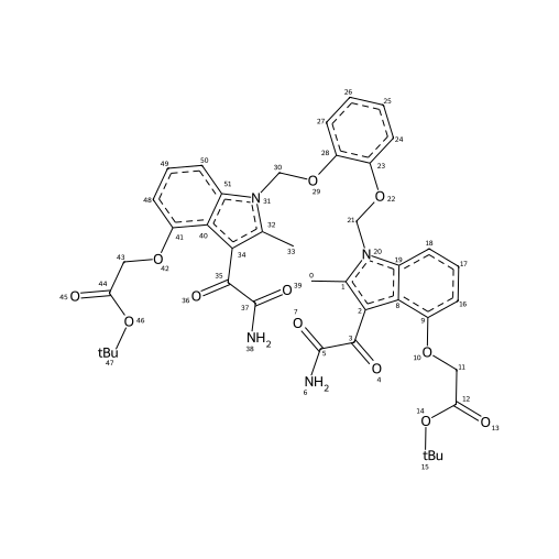 Cc1c(C(=O)C(N)=O)c2c(OCC(=O)OC(C)(C)C)cccc2n1COc1ccccc1OCn1c(C)c(C(=O)C(N)=O)c2c(OCC(=O)OC(C)(C)C)cccc21